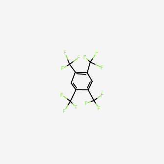 FC(F)(F)c1cc(C(F)(F)F)c(C(F)(F)F)cc1C(F)(F)F